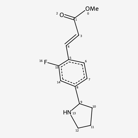 COC(=O)/C=C/c1ccc(C2CCCN2)cc1F